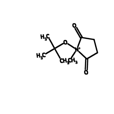 CC(C)(C)O[N+]1(C)C(=O)CCC1=O